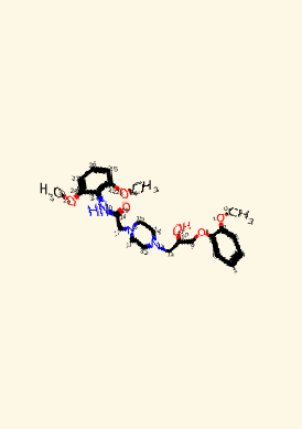 COc1ccccc1OCC(O)CN1CCN(CC(=O)Nc2c(OC)cccc2OC)CC1